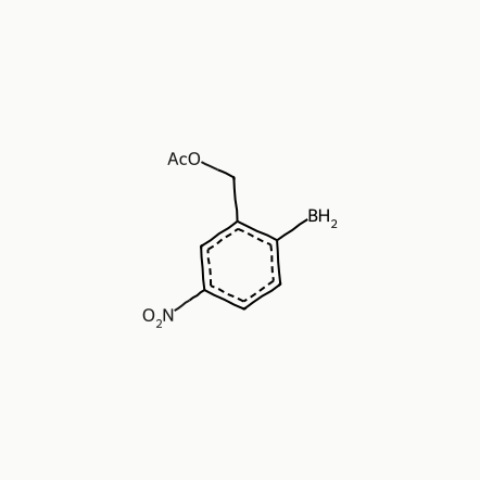 Bc1ccc([N+](=O)[O-])cc1COC(C)=O